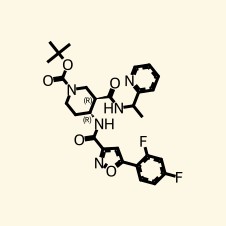 CC(NC(=O)[C@@H]1CN(C(=O)OC(C)(C)C)CC[C@H]1NC(=O)c1cc(-c2ccc(F)cc2F)on1)c1ccccn1